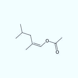 CC(=O)OC=C(C)CC(C)C